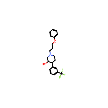 OC1CN(CCCOc2ccccc2)CCC1c1cccc(C(F)(F)F)c1